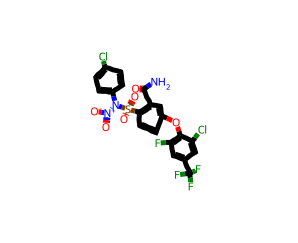 NC(=O)c1cc(Oc2c(F)cc(C(F)(F)F)cc2Cl)ccc1S(=O)(=O)N(c1ccc(Cl)cc1)[N+](=O)[O-]